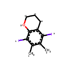 Cc1c(C)c(I)c2c(c1I)CCCO2